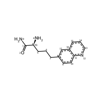 NC(=O)[C@@H](N)CCCc1ccc2ncccc2c1